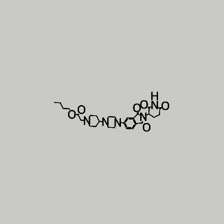 CCCCOC(=O)CN1CCC(N2CCN(c3ccc4c(c3)C(=O)N(C3CCC(=O)NC3=O)C4=O)CC2)CC1